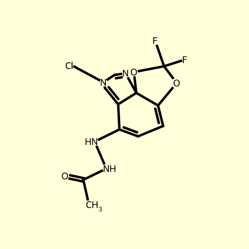 CC(=O)NNC1=CC=C2OC(F)(F)OC23N=CN(Cl)C=C13